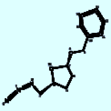 [N-]=[N+]=NC[C@@H]1CC[C@H](OCc2ccccc2)O1